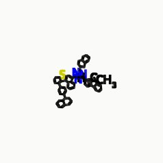 CC1(C)c2ccccc2-c2ccc(-c3nc(-c4ccc5ccccc5c4)nc(-c4cc5sc6cccc(-c7ccc(-c8cccc9ccccc89)cc7)c6c5c5ccccc45)n3)cc21